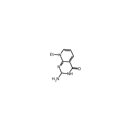 CCN1C=CC=C2C(=O)NC(N)N=C21